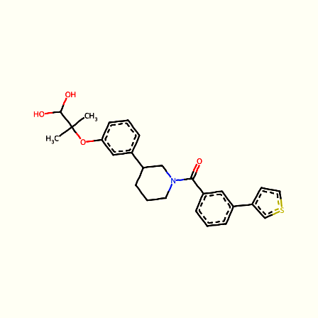 CC(C)(Oc1cccc(C2CCCN(C(=O)c3cccc(-c4ccsc4)c3)C2)c1)C(O)O